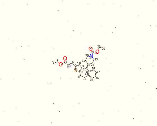 CCOC(=O)/C=C/c1cc2c(s1)CCc1ccccc1C2=C1CCN(C(=O)OCC)CC1